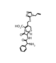 C=CCn1cnnc1SCC1=C(C(=O)O)N2C(=O)C(NC(=O)C(N)c3ccccc3)[C@@H]2SC1